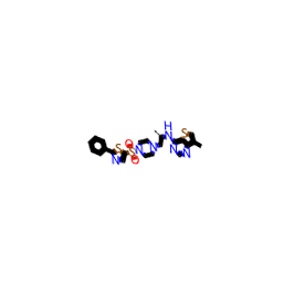 Cc1csc2c(N[C@@H](C)CN3CCN(S(=O)(=O)c4cnc(-c5ccccc5)s4)CC3)ncnc12